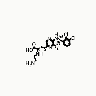 COc1nc(SC[C@H](NCCN)C(=O)O)cnc1NS(=O)(=O)c1cccc(Cl)c1Cl